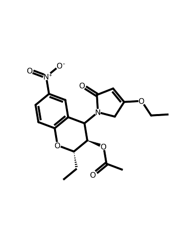 CCOC1=CC(=O)N(C2c3cc([N+](=O)[O-])ccc3O[C@@H](CC)[C@@H]2OC(C)=O)C1